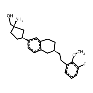 COc1c(F)cccc1CC[C@@H]1CCc2cc([C@H]3CC[C@](N)(CO)C3)ccc2C1